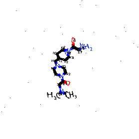 CN(C)CC(=O)N1CCN(CC2CCN(C(=O)CN)CC2)CC1